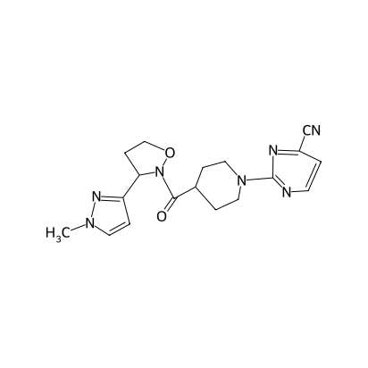 Cn1ccc(C2CCON2C(=O)C2CCN(c3nccc(C#N)n3)CC2)n1